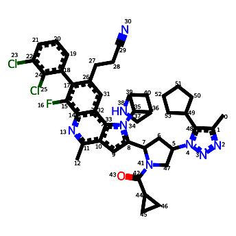 Cc1nnn(C2CC(c3cc4c(C)nc5c(F)c(-c6cccc(Cl)c6Cl)c(CCC#N)cc5c4n3C3C4CNC3C4)N(C(=O)C3CC3)C2)c1C1CCCC1